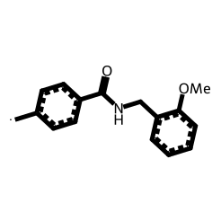 [CH2]c1ccc(C(=O)NCc2ccccc2OC)cc1